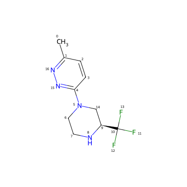 Cc1ccc(N2CCN[C@H](C(F)(F)F)C2)nn1